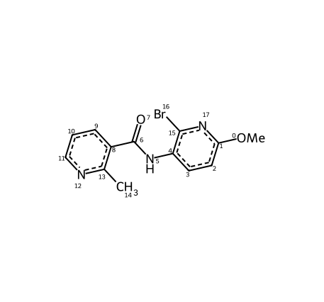 COc1ccc(NC(=O)c2cccnc2C)c(Br)n1